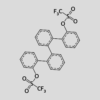 O=S(=O)(Oc1ccccc1-c1ccccc1-c1ccccc1-c1ccccc1OS(=O)(=O)C(F)(F)F)C(F)(F)F